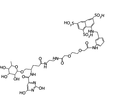 CC1OC(OCC(CCC(=O)NCCNC(=O)COCCOCC(=O)Nc2cccc(CNc3cc(S(=O)(=O)O)cc4cc(S(=O)(=O)O)cc(S(=O)(=O)O)c34)c2)NC(=O)c2cc(O)nc(O)n2)C(O)C(O)C1O